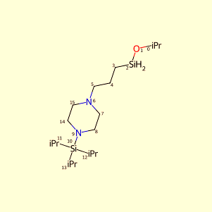 CC(C)O[SiH2]CCCN1CCN([Si](C(C)C)(C(C)C)C(C)C)CC1